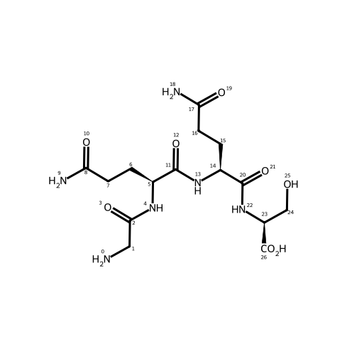 NCC(=O)N[C@@H](CCC(N)=O)C(=O)N[C@@H](CCC(N)=O)C(=O)N[C@@H](CO)C(=O)O